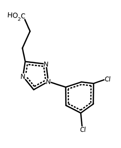 O=C(O)CCc1ncn(-c2cc(Cl)cc(Cl)c2)n1